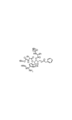 CC(C)[C@H](NC(=O)OC(C)(C)C)C(=O)O[C@H]1[C@@H](OC(=O)[C@@H](NC(=O)OC(C)(C)C)C(C)C)[C@](C#N)(c2ccc(/C(N)=N\C=N)[nH]2)O[C@@H]1COC(=O)Cc1ccccc1